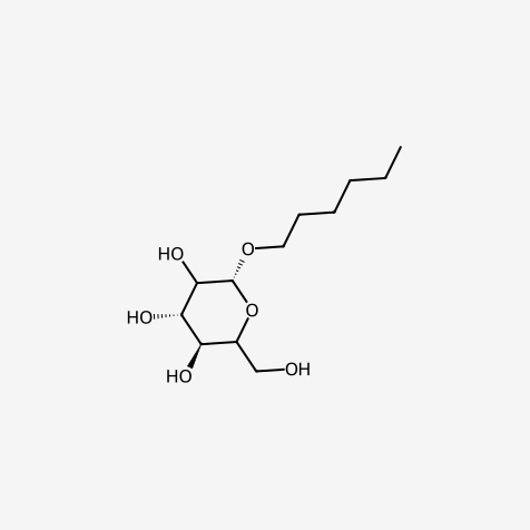 CCCCCCO[C@@H]1OC(CO)[C@@H](O)[C@H](O)C1O